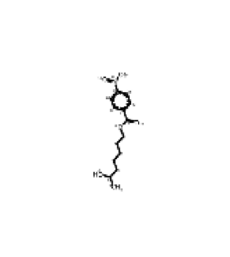 CC(O)CCCCCOC(=O)c1ccc([N+](=O)[O-])cc1